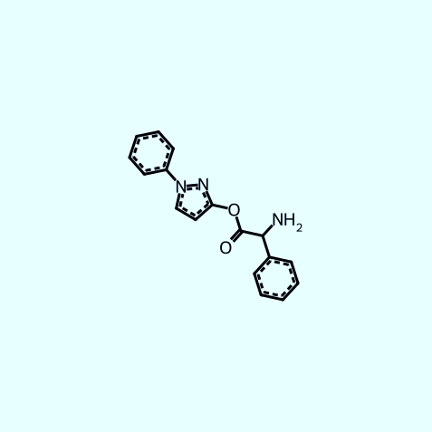 NC(C(=O)Oc1ccn(-c2ccccc2)n1)c1ccccc1